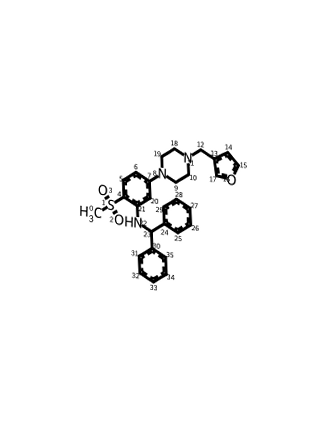 CS(=O)(=O)c1ccc(N2CCN(Cc3ccoc3)CC2)cc1NC(c1ccccc1)c1ccccc1